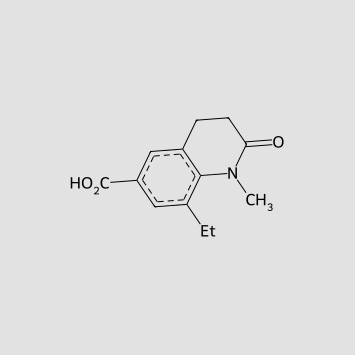 CCc1cc(C(=O)O)cc2c1N(C)C(=O)CC2